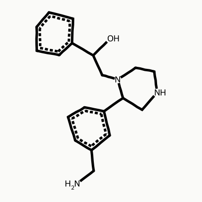 NCc1cccc(C2CNCCN2CC(O)c2ccccc2)c1